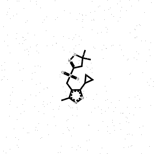 Cc1noc(C2CC2)c1CS(=O)(=O)C1=NOC(C)(C)C1